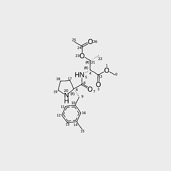 COC(=O)[C@H](NC(=O)[C@]1(Cc2cccc(C)c2)CCCN1)[C@@H](C)OC(C)=O